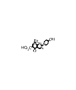 CCn1cc(C(=O)O)c(=O)c2cnc(N3CCC(O)CC3)nc21